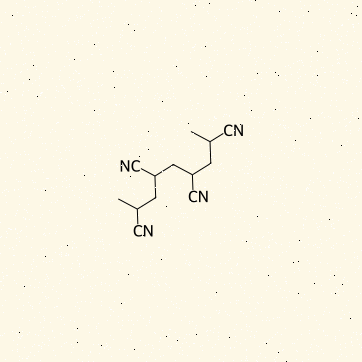 CC(C#N)CC(C#N)CC(C#N)CC(C)C#N